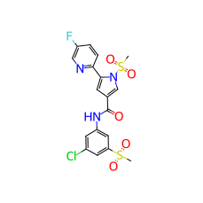 CS(=O)(=O)c1cc(Cl)cc(NC(=O)c2cc(-c3ccc(F)cn3)n(S(C)(=O)=O)c2)c1